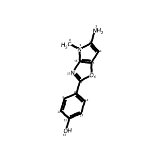 Cn1c(N)cc2oc(-c3ccc(O)cc3)nc21